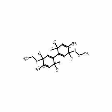 CCOC1(Cl)C=C(C2=CC(Cl)(OCC)C(N)=CC2(Cl)Cl)C(Cl)(Cl)C=C1N